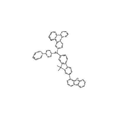 CC1(C)c2cc(-c3cccc4c3oc3ccccc34)ccc2-c2ccc(N(c3ccc(-c4ccccc4)cc3)c3ccc4c5ccccc5c5ccccc5c4c3)cc21